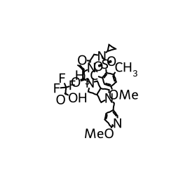 COc1cc(C)c(S(=O)(=O)N(Cc2nc(C(=O)N3CC4CN(Cc5ccc(OC)nc5)CC4C3)co2)C2CC2)c(C)c1.O=C(O)C(F)(F)F